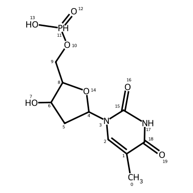 Cc1cn(C2CC(O)C(CO[PH](=O)O)O2)c(=O)[nH]c1=O